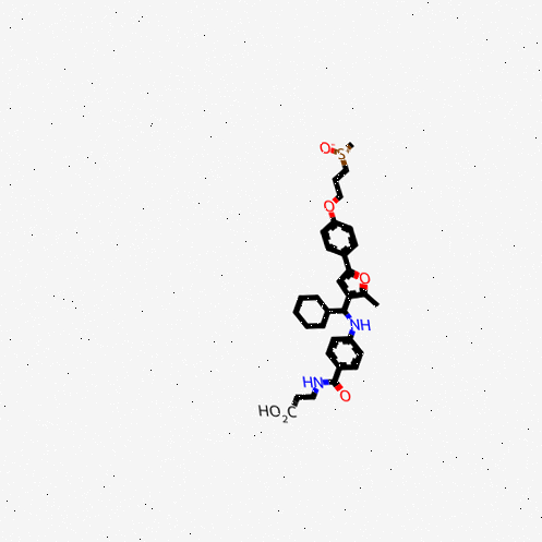 Cc1oc(-c2ccc(OCCC[S+](C)[O-])cc2)cc1C(Nc1ccc(C(=O)NCCC(=O)O)cc1)C1CCCCC1